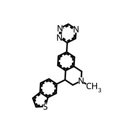 CN1Cc2cc(-c3cncnn3)ccc2C(c2ccc3ccsc3c2)C1